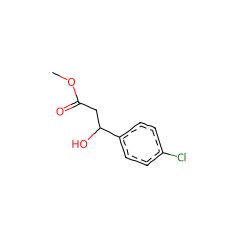 COC(=O)CC(O)c1ccc(Cl)cc1